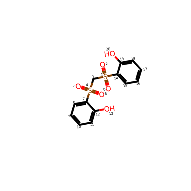 O=S(=O)(CS(=O)(=O)c1ccccc1O)c1ccccc1O